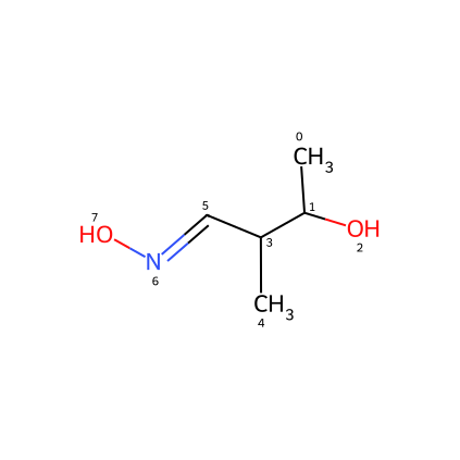 CC(O)C(C)C=NO